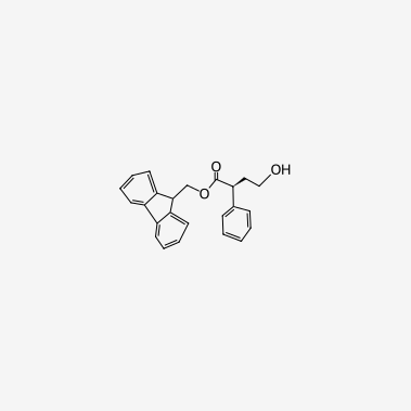 O=C(OCC1c2ccccc2-c2ccccc21)[C@@H](CCO)c1ccccc1